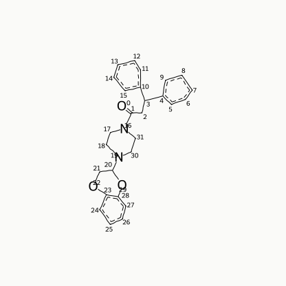 O=C(CC(c1ccccc1)c1ccccc1)N1CCN(C2COc3ccccc3O2)CC1